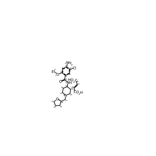 CCOc1cc(N)c(Cl)cc1C(=O)NC1CCN(CC2CCCO2)CC1.O=C(O)C=CC(=O)O